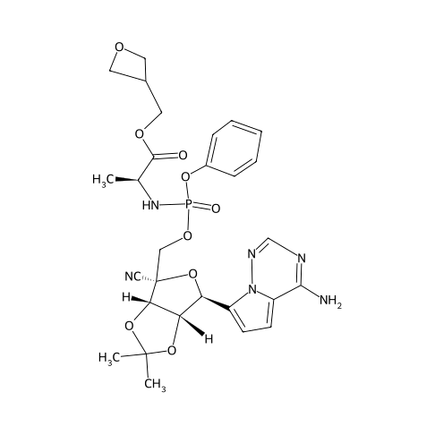 C[C@H](NP(=O)(OC[C@@]1(C#N)O[C@@H](c2ccc3c(N)ncnn23)[C@@H]2OC(C)(C)O[C@@H]21)Oc1ccccc1)C(=O)OCC1COC1